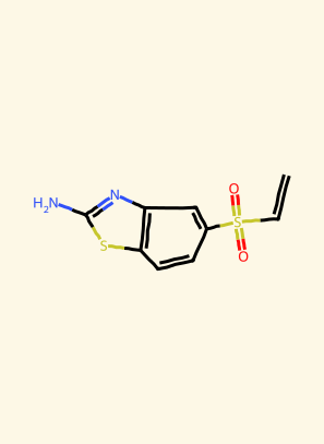 C=CS(=O)(=O)c1ccc2sc(N)nc2c1